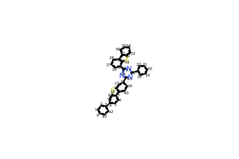 c1ccc(-c2ccc3c(c2)sc2cc(-c4nc(-c5ccccc5)nc(-c5cccc6c5sc5ccccc56)n4)ccc23)cc1